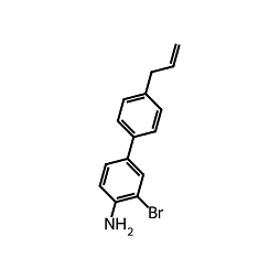 C=CCc1ccc(-c2ccc(N)c(Br)c2)cc1